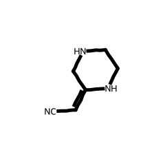 N#CC=C1CNCCN1